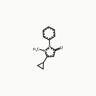 Cn1c(C2CC2)cc(=O)n1-c1ccccc1